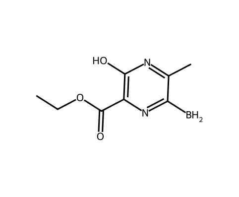 Bc1nc(C(=O)OCC)c(O)nc1C